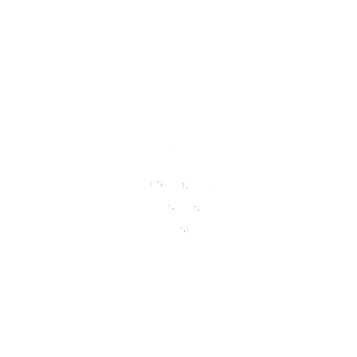 CC(C)(F)c1nc(N)nc(NC(COc2ccccc2)C2CCC2)n1